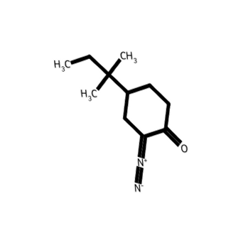 CCC(C)(C)C1CCC(=O)C(=[N+]=[N-])C1